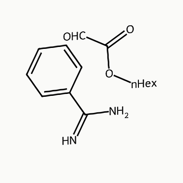 CCCCCCOC(=O)C=O.N=C(N)c1ccccc1